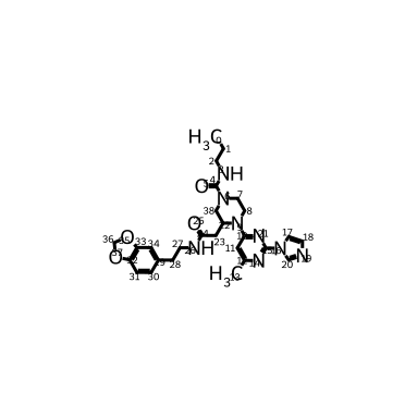 CCCNC(=O)N1CCN(c2cc(C)nc(-n3ccnc3)n2)C(CC(=O)NCCc2ccc3c(c2)OCO3)C1